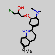 CNC1=CCC2NC(C3=CCC(N(C)C)[C@H](OCC(O)CF)C3)CCC2C1